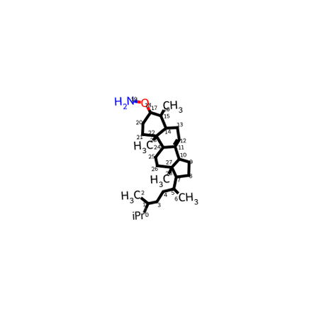 CC(C)C(C)CCC(C)C1CCC2C3=CCC4C(C)C(ON)CCC4(C)C3CCC21C